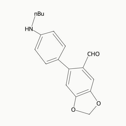 CCCCNc1ccc(-c2cc3c(cc2C=O)OCO3)cc1